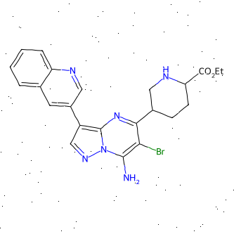 CCOC(=O)C1CCC(c2nc3c(-c4cnc5ccccc5c4)cnn3c(N)c2Br)CN1